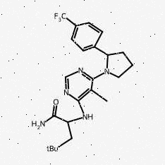 Cc1c(NC(CC(C)(C)C)C(N)=O)ncnc1N1CCCC1c1ccc(C(F)(F)F)cc1